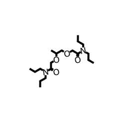 CCCN(CCC)C(=O)COCC(C)OCC(=O)N(CCC)CCC